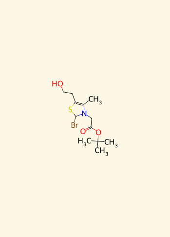 CC1=C(CCO)SC(Br)N1CC(=O)OC(C)(C)C